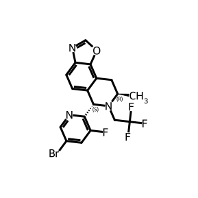 C[C@@H]1Cc2c(ccc3ncoc23)[C@@H](c2ncc(Br)cc2F)N1CC(F)(F)F